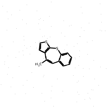 CC1=Cc2ccccc2Sc2sccc21